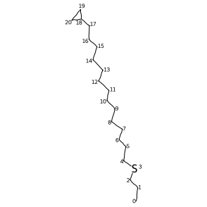 CCCSCCCCCCCCCCCCCCC1CC1